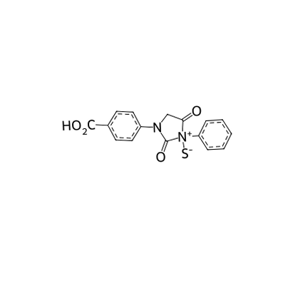 O=C(O)c1ccc(N2CC(=O)[N+]([S-])(c3ccccc3)C2=O)cc1